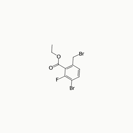 CCOC(=O)c1c(CBr)ccc(Br)c1F